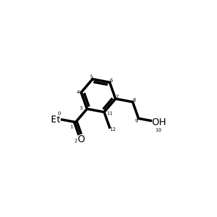 CCC(=O)c1cccc(CCO)c1C